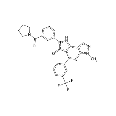 Cn1ncc2c3[nH]n(-c4cccc(C(=O)N5CCCC5)c4)c(=O)c3c(-c3cccc(C(F)(F)F)c3)nc21